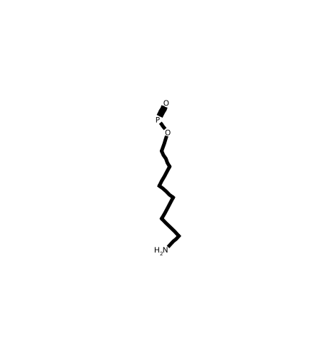 NCCCCCCOP=O